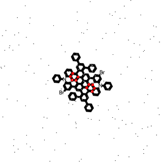 Brc1cc2c3c(c1)N(c1ccccc1)c1ccccc1B3c1cc3c(-c4c(-c5ccccc5)cc(-c5ccccc5)cc4-c4ccccc4)cc4c5c(cc6c(-c7c(-c8ccccc8)cc(-c8ccccc8)cc7-c7ccccc7)cc-2c1c6c35)B1c2ccccc2N(c2ccccc2)c2cc(Br)cc-4c21